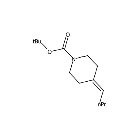 CCCC=C1CCN(C(=O)OC(C)(C)C)CC1